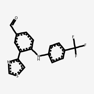 O=Cc1ccc(Nc2ccc(C(F)(F)F)cc2)c(-c2cscn2)c1